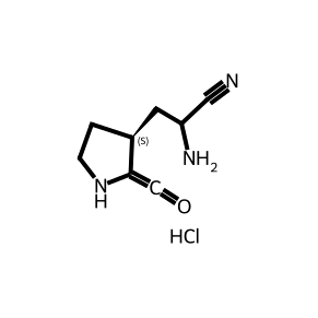 Cl.N#CC(N)C[C@@H]1CCNC1=C=O